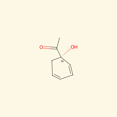 CC(=O)[C@@]1(O)C=CC=CC1